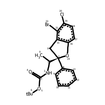 CC(NC(=O)OC(C)(C)C)[C@@]1(c2ccccc2)Cc2c(ccc(Cl)c2Br)O1